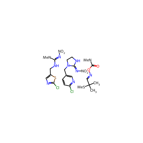 CN/C(=N\[N+](=O)[O-])NCc1cnc(Cl)s1.CNC(=O)O/N=C/C(C)(C)SC.O=[N+]([O-])/N=C1\NCCN1Cc1ccc(Cl)nc1